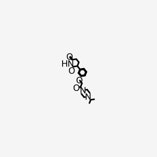 CC(C)N1CCN(C(=O)COc2cccc(C3CCC(=O)NC3=O)c2)CC1